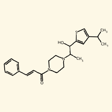 CC(C)c1csc(C(O)C(C)N2CCN(C(=O)C=Cc3ccccc3)CC2)c1